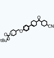 CC(C)(C)OC(=O)N1CCC(COc2ccc(C3=CCC(C(=O)C4CCC(C#N)CC4)CC3)cc2)CC1